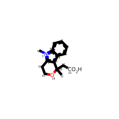 Cn1c2c(c3ccccc31)C(C)(CC(=O)O)OCC2